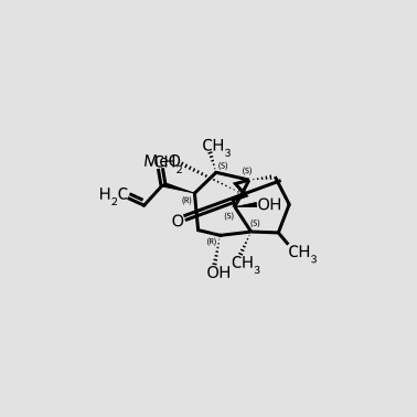 C=CC(=C)[C@@H]1C[C@@H](O)[C@]2(C)C(C)CC[C@]3(C[C@H](OC)C(=O)[C@]32O)[C@H]1C